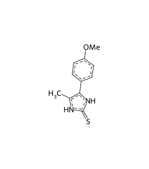 COc1ccc(-c2[nH]c(=S)[nH]c2C)cc1